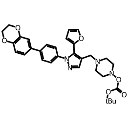 CC(C)(C)OC(=O)ON1CCN(Cc2cnn(-c3ccc(-c4ccc5c(c4)OCCO5)cc3)c2-c2ccco2)CC1